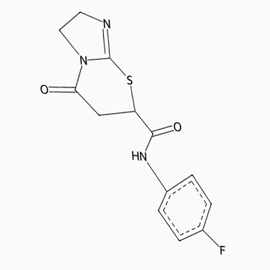 O=C(Nc1ccc(F)cc1)C1CC(=O)N2CCN=C2S1